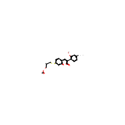 CCCCCc1ccc(-c2cc3ccc(SCC(COC(=O)C(C)C)C(F)(F)F)cc3oc2=O)c(OC(F)(F)F)c1